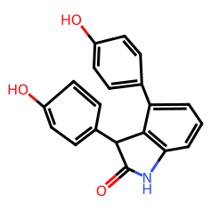 O=C1Nc2cccc(-c3ccc(O)cc3)c2C1c1ccc(O)cc1